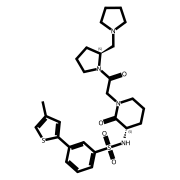 Cc1csc(-c2cccc(S(=O)(=O)N[C@H]3CCCN(CC(=O)N4CCC[C@H]4CN4CCCC4)C3=O)c2)c1